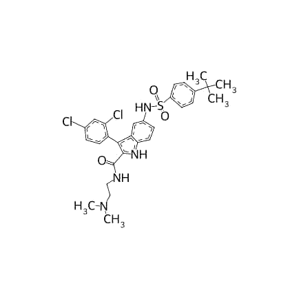 CN(C)CCNC(=O)c1[nH]c2ccc(NS(=O)(=O)c3ccc(C(C)(C)C)cc3)cc2c1-c1ccc(Cl)cc1Cl